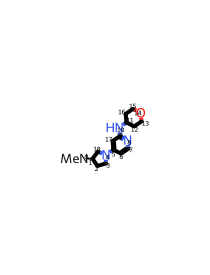 CN[C@@H]1CCN(c2ccnc(NC3CCOCC3)c2)C1